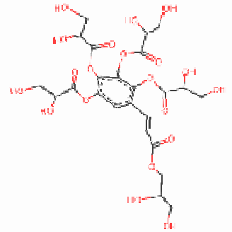 O=C(C=Cc1cc(OC(=O)C(O)CO)c(OC(=O)C(O)CO)c(OC(=O)C(O)CO)c1OC(=O)C(O)CO)OCC(O)CO